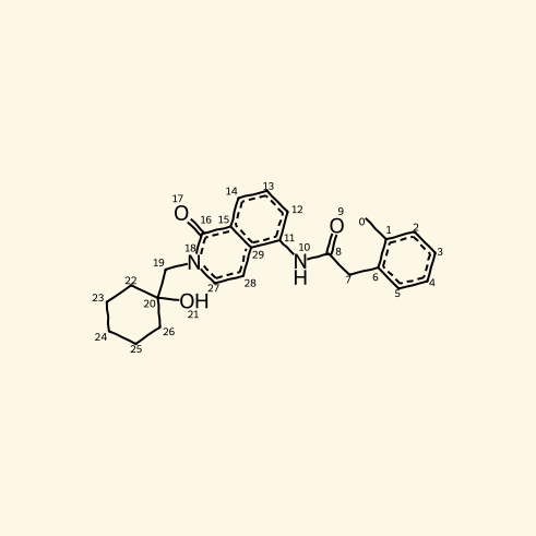 Cc1ccccc1CC(=O)Nc1cccc2c(=O)n(CC3(O)CCCCC3)ccc12